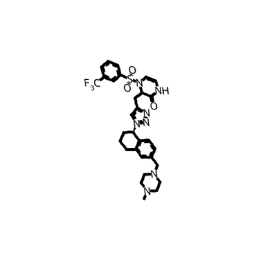 CN1CCN(Cc2ccc3c(c2)CCC[C@H]3n2cc(CC3C(=O)NC=CN3S(=O)(=O)c3cccc(C(F)(F)F)c3)nn2)CC1